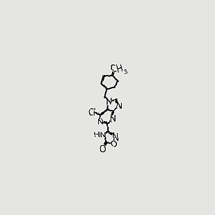 CC1CCC(Cn2cnc3nc(-c4noc(=O)[nH]4)nc(Cl)c32)CC1